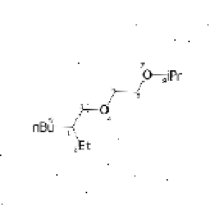 CCCCC(CC)COCCOC(C)C